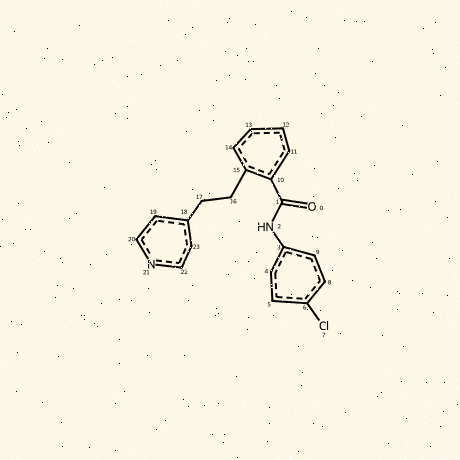 O=C(Nc1ccc(Cl)cc1)c1ccccc1CCc1ccncc1